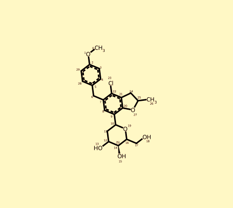 COc1ccc(Cc2cc(C3CC(O)[C@H](O)C(CO)O3)c3c(c2Cl)CC(C)O3)cc1